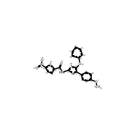 COc1ccc(-c2nc(NC(=O)c3ccc([N+](=O)[O-])s3)sc2Oc2ccccc2)cc1